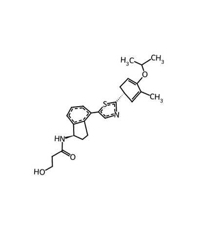 CC1=C[C@H](c2ncc(-c3cccc4c3CC[C@H]4NC(=O)CCO)s2)CC=C1OC(C)C